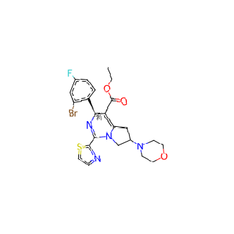 CCOC(=O)C1=C2CC(N3CCOCC3)CN2C(c2nccs2)=N[C@H]1c1ccc(F)cc1Br